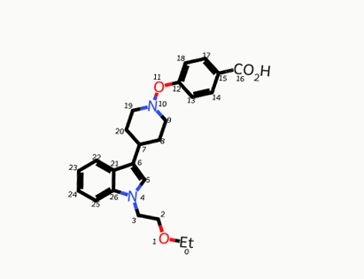 CCOCCn1cc(C2CCN(Oc3ccc(C(=O)O)cc3)CC2)c2ccccc21